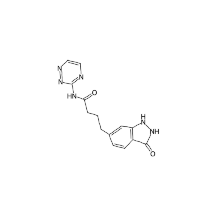 O=C(CCCc1ccc2c(=O)[nH][nH]c2c1)Nc1nccnn1